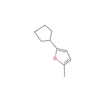 Cc1ccc(C2CCCC2)o1